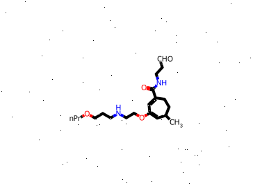 CCCOCCCNCCOC1=CC(C)CCC(C(=O)NCCC=O)=C1